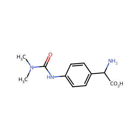 CN(C)C(=O)Nc1ccc(C(N)C(=O)O)cc1